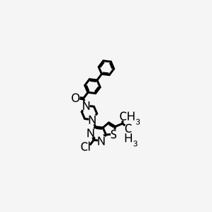 CC(C)c1cc2c(N3CCN(C(=O)c4ccc(-c5ccccc5)cc4)CC3)nc(Cl)nc2s1